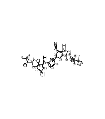 CN(C)C(=O)C1COc2c(cc(Cl)cc2Nc2nccc(-c3cc(C#N)c4c(c3)[C@@](C)(CO[Si](C)(C)C(C)(C)C)CN4)n2)C1